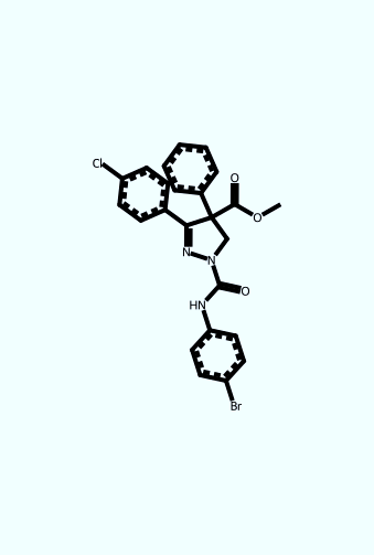 COC(=O)C1(c2ccccc2)CN(C(=O)Nc2ccc(Br)cc2)N=C1c1ccc(Cl)cc1